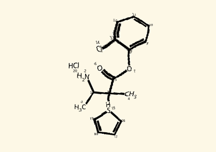 CC(N)C(C)(C(=O)Oc1ccccc1Cl)[SH]1C=CC=C1.Cl